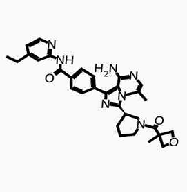 CCc1ccnc(NC(=O)c2ccc(-c3nc([C@@H]4CCCN(C(=O)C5(C)COC5)C4)n4c(C)cnc(N)c34)cc2)c1